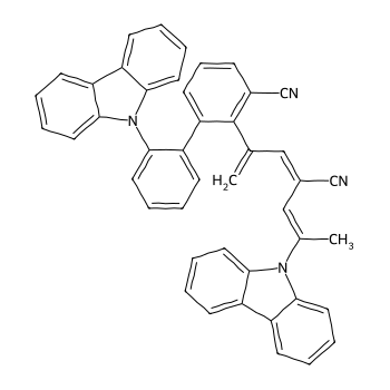 C=C(/C=C(C#N)\C=C(/C)n1c2ccccc2c2ccccc21)c1c(C#N)cccc1-c1ccccc1-n1c2ccccc2c2ccccc21